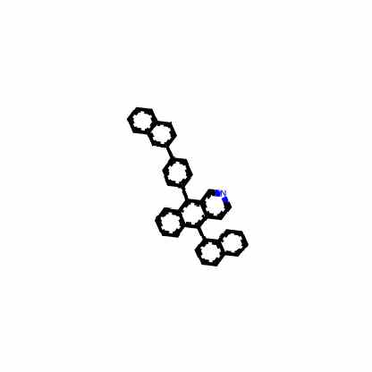 c1ccc2cc(-c3ccc(-c4c5ccccc5c(-c5cccc6ccccc56)c5ccncc45)cc3)ccc2c1